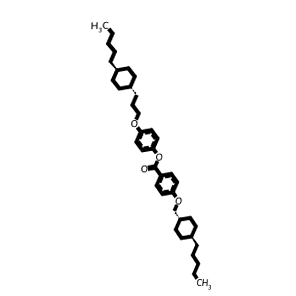 CCCCC[C@H]1CC[C@H](CCCOc2ccc(OC(=O)c3ccc(OC[C@H]4CC[C@H](CCCCC)CC4)cc3)cc2)CC1